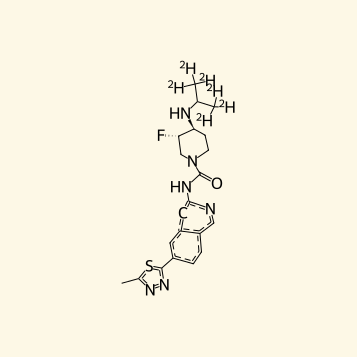 [2H]C([2H])([2H])C(N[C@H]1CCN(C(=O)Nc2cc3cc(-c4nnc(C)s4)ccc3cn2)C[C@@H]1F)C([2H])([2H])[2H]